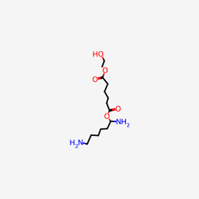 NCCCCCC(N)OC(=O)CCCCC(=O)OCCO